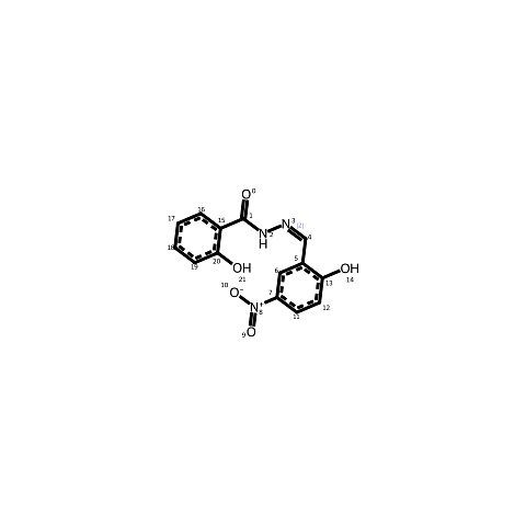 O=C(N/N=C\c1cc([N+](=O)[O-])ccc1O)c1ccccc1O